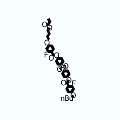 C=CC(=O)OCCCCOc1ccc(C(=O)Oc2ccc(S(=O)(=O)c3ccc(OC(=O)c4ccc(OCCCC)cc4F)cc3)cc2)c(F)c1